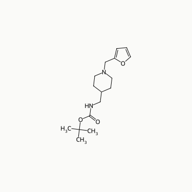 CC(C)(C)OC(=O)NCC1CCN(Cc2ccco2)CC1